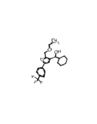 CCOCc1oc(-c2ccc(C(F)(F)F)cc2)cc1C(O)C1CCCCC1